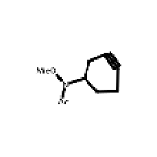 CON(C(C)=O)C1CC#CCC1